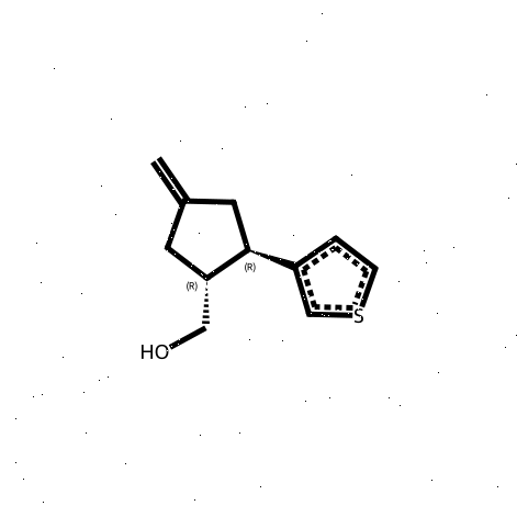 C=C1C[C@@H](CO)[C@H](c2ccsc2)C1